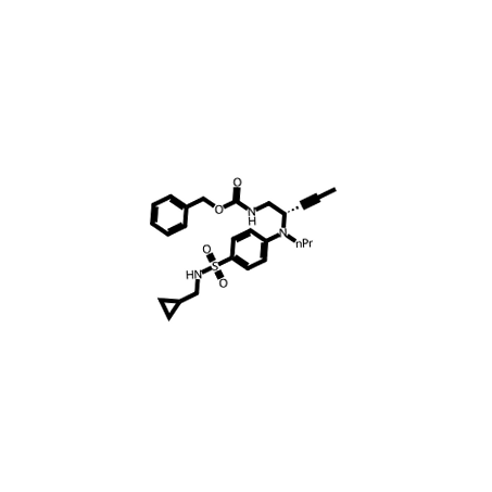 CC#C[C@@H](CNC(=O)OCc1ccccc1)N(CCC)c1ccc(S(=O)(=O)NCC2CC2)cc1